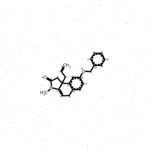 C=CCC12CC(=O)N(C)C1=CCc1ccc(OCc3ccccc3)cc12